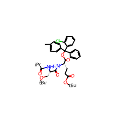 Cc1ccc(C(OC(=O)[C@H](CCC(=O)OC(C)(C)C)NC(=O)[C@H](COC(C)(C)C)NC(=O)C(C)C)(c2ccccc2)c2ccccc2Cl)cc1